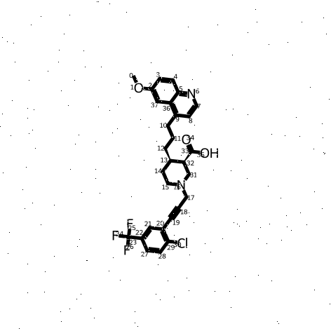 COc1ccc2nccc(CCC[C@@H]3CCN(CC#Cc4cc(C(F)(F)F)ccc4Cl)C[C@@H]3C(=O)O)c2c1